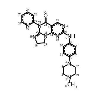 CN1CCN(c2ccc(Nc3ncc4c(n3)N3CCN=C3N(c3ccccn3)C4=O)cc2)CC1